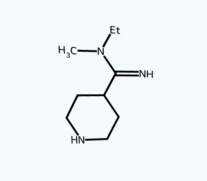 CCN(C)C(=N)C1CCNCC1